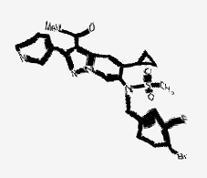 CNC(=O)c1c(-c2cccnc2)nn2cc(N(Cc3ccc(Br)c(F)c3)S(C)(=O)=O)c(C3CC3)cc12